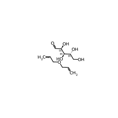 C=CCOCC=C.O=C[C@@H](O)[C@H](O)[C@H](O)CO